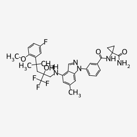 COc1ccc(F)cc1C(C)(C)CC(O)(CNc1cc(C)cc2c1cnn2-c1cccc(C(=O)NC2(C(N)=O)CC2)c1)C(F)(F)F